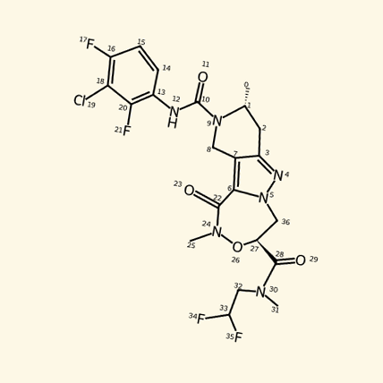 C[C@@H]1Cc2nn3c(c2CN1C(=O)Nc1ccc(F)c(Cl)c1F)C(=O)N(C)O[C@H](C(=O)N(C)CC(F)F)C3